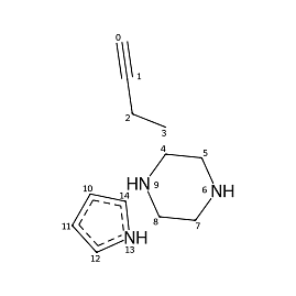 C#CCC.C1CNCCN1.c1cc[nH]c1